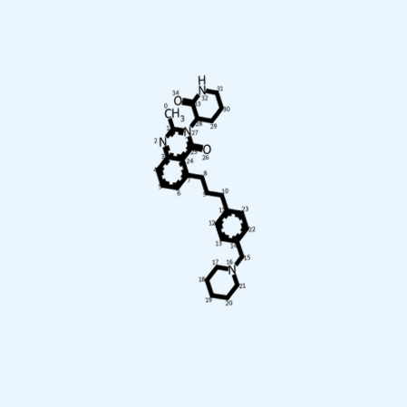 Cc1nc2cccc(CCCc3ccc(CN4CCCCC4)cc3)c2c(=O)n1C1CCCNC1=O